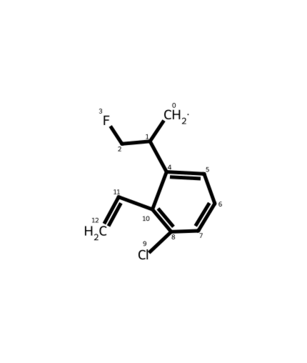 [CH2]C(CF)c1cccc(Cl)c1C=C